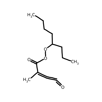 CCCCC(CCC)OOC(=O)C(C)=C=C=O